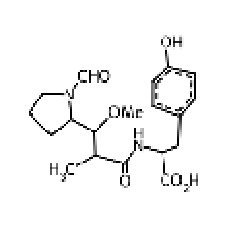 COC(C(C)C(=O)NC(Cc1ccc(O)cc1)C(=O)O)C1CCCN1C=O